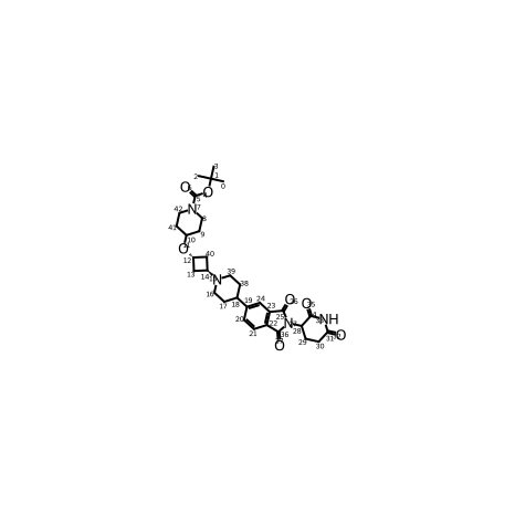 CC(C)(C)OC(=O)N1CCC(O[C@H]2C[C@H](N3CCC(c4ccc5c(c4)C(=O)N(C4CCC(=O)NC4=O)C5=O)CC3)C2)CC1